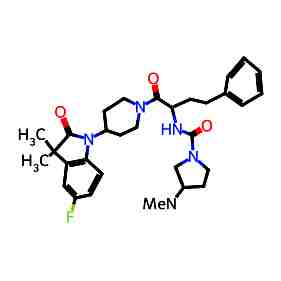 CNC1CCN(C(=O)NC(CCc2ccccc2)C(=O)N2CCC(N3C(=O)C(C)(C)c4cc(F)ccc43)CC2)C1